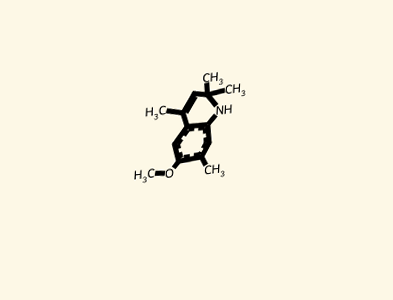 COc1cc2c(cc1C)NC(C)(C)C=C2C